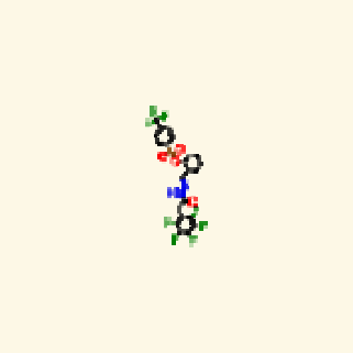 O=C(Cc1c(F)c(F)c(F)c(F)c1F)NN=Cc1ccccc1OS(=O)(=O)c1ccc(C(F)(F)F)cc1